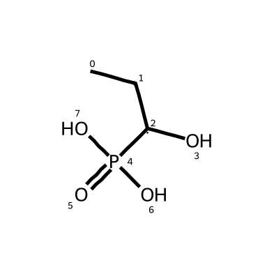 CC[C](O)P(=O)(O)O